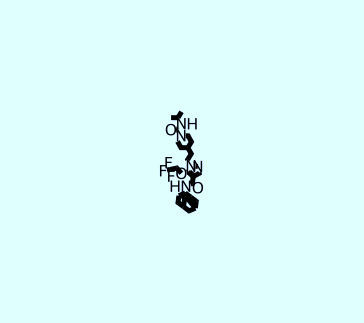 CC(C)NC(=O)N1CCC(CCn2ncc(C(=O)NC3C4CC5CC(C4)CC3C5)c2OCC(F)(F)F)CC1